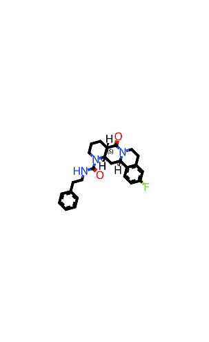 O=C1[C@H]2CCCN(C(=O)NCCc3ccccc3)[C@H]2C[C@@H]2c3ccc(F)cc3CCN12